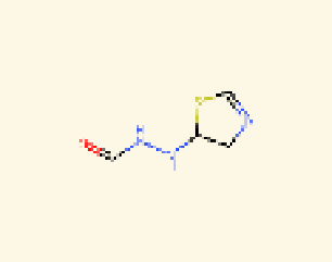 O=CNNC1CN=CS1